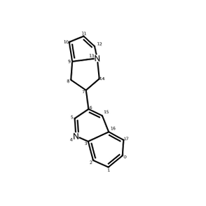 c1ccc2ncc(C3Cc4cccn4C3)cc2c1